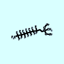 CC(C)O[Si](C)(CCC(F)(F)C(F)(F)C(F)(F)C(F)(F)C(F)(F)C(F)(F)C(F)(F)C(F)(F)F)OC(C)C